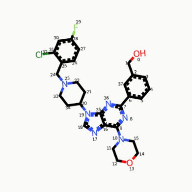 OCc1cccc(-c2nc(N3CCOCC3)c3ncn(C4CCN(Cc5ccc(F)cc5Cl)CC4)c3n2)c1